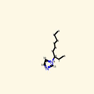 CCCCCCC(CC)n1ccnc1